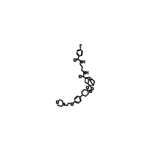 O=C(NCCCNC(=O)C12CC3CC(C1)C1(OOC4(CCC(c5ccc(OCCN6CCOCC6)cc5)CC4)O1)C(C3)C2)c1ccc(F)cc1